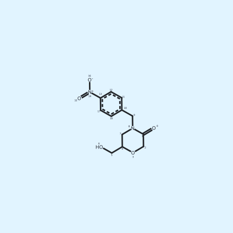 O=C1COC(CO)CN1Cc1ccc([N+](=O)[O-])cc1